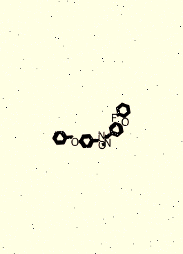 FC1CCCCC1Oc1ccc(-c2noc(-c3ccc(OCc4ccccc4)cc3)n2)cc1